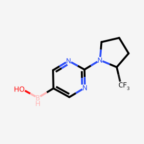 OBc1cnc(N2CCCC2C(F)(F)F)nc1